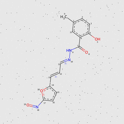 Cc1ccc(O)c(C(=O)N/N=C/C=C/c2ccc(N=O)o2)c1